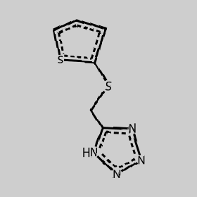 c1csc(SCc2nnn[nH]2)c1